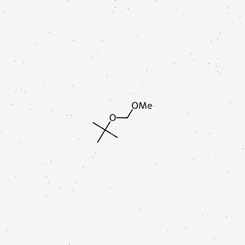 [CH2]OCOC(C)(C)C